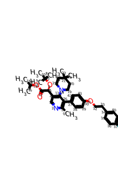 Cc1ncc([C@H](OC(C)(C)C)C(=O)OC(C)C)c(N2CCC(C)(C)CC2)c1-c1ccc(OCCc2ccc(F)cc2)cc1